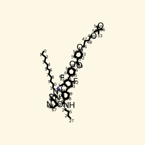 CCCCCCCCCCCCN(/N=C/c1c(-c2ccc(C(=O)NCCCC)cc2)cc(F)c(-c2ccc(OC(=O)c3ccc(OCCCCOCC4(C)COC4)cc3)cc2)c1F)c1nc2cccnc2s1